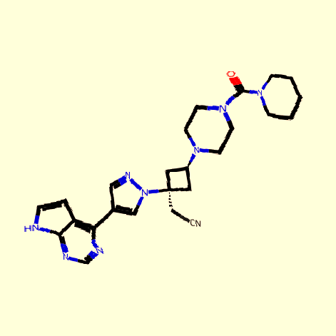 N#CC[C@]1(n2cc(-c3ncnc4[nH]ccc34)cn2)C[C@@H](N2CCN(C(=O)N3CCCCC3)CC2)C1